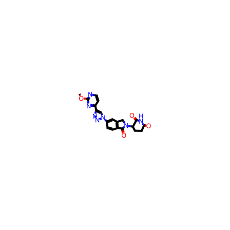 COc1nccc(-c2cn(-c3ccc4c(c3)CN(C3CCC(=O)NC3=O)C4=O)nn2)n1